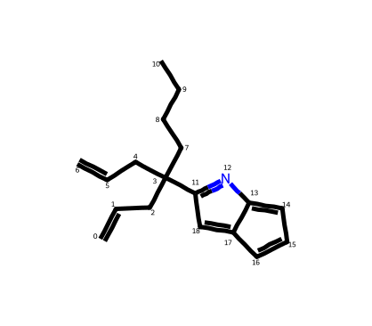 C=CCC(CC=C)(CCCC)C1=NC2=CC=CC2=C1